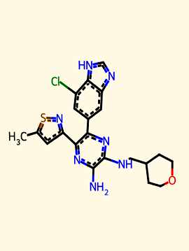 Cc1cc(-c2nc(N)c(NCC3CCOCC3)nc2-c2cc(Cl)c3[nH]cnc3c2)ns1